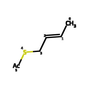 CC=CCSC(C)=O